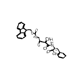 O=C(NCC(=O)C(O)C(=O)N[C@@H](Cc1ccccc1)C(=O)O)OCC1c2ccccc2-c2ccccc21